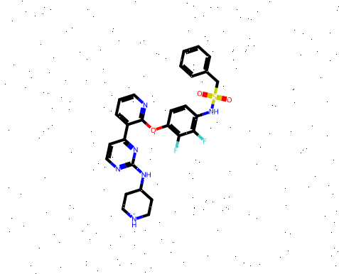 O=S(=O)(Cc1ccccc1)Nc1ccc(Oc2ncccc2-c2ccnc(NC3CCNCC3)n2)c(F)c1F